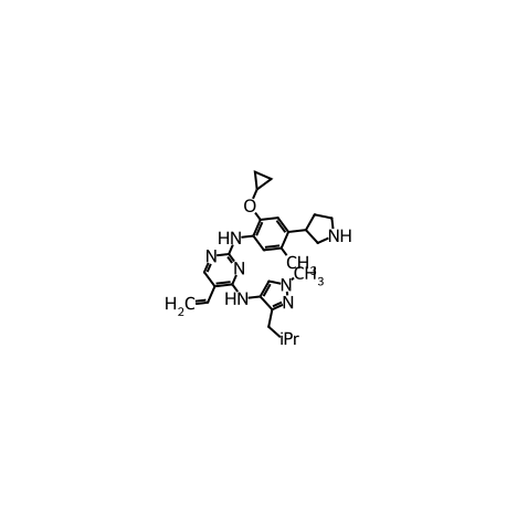 C=Cc1cnc(Nc2cc(C)c(C3CCNC3)cc2OC2CC2)nc1Nc1cn(C)nc1CC(C)C